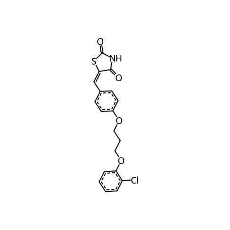 O=C1NC(=O)/C(=C\c2ccc(OCCCOc3ccccc3Cl)cc2)S1